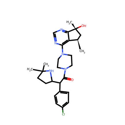 C[C@@H]1C[C@@](C)(O)c2ncnc(N3CCN(C(=O)C(c4ccc(Cl)cc4)C4CCC(C)(C)N4)CC3)c21